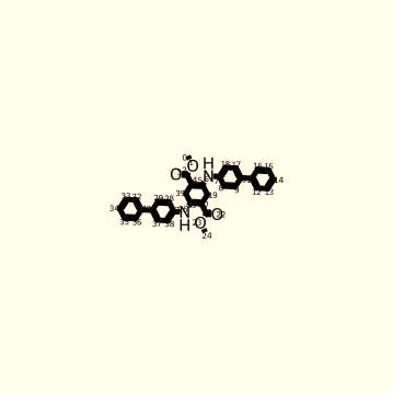 COC(=O)C1=C(Nc2ccc(-c3ccccc3)cc2)CC(C(=O)OC)=C(Nc2ccc(-c3ccccc3)cc2)C1